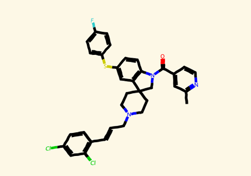 Cc1cc(C(=O)N2CC3(CCN(CC=Cc4ccc(Cl)cc4Cl)CC3)c3cc(Sc4ccc(F)cc4)ccc32)ccn1